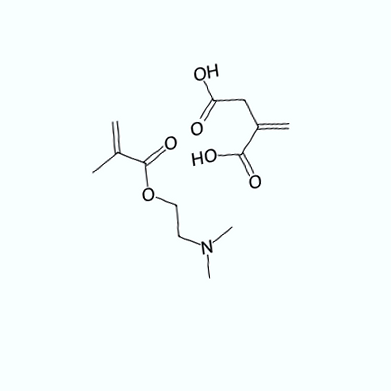 C=C(C)C(=O)OCCN(C)C.C=C(CC(=O)O)C(=O)O